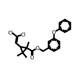 CC1(C)C(C=C(Cl)Cl)C1(C)C(=O)OCc1cccc(Oc2ccccc2)c1